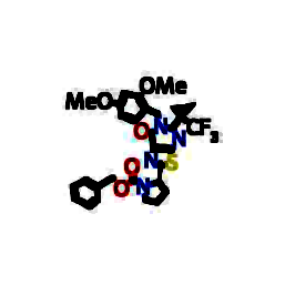 COc1ccc(Cn2c(C3(C(F)(F)F)CC3)nc3sc([C@H]4CCCN4C(=O)OCc4ccccc4)nc3c2=O)c(OC)c1